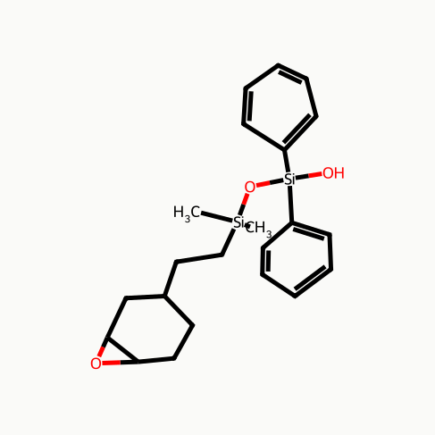 C[Si](C)(CCC1CCC2OC2C1)O[Si](O)(c1ccccc1)c1ccccc1